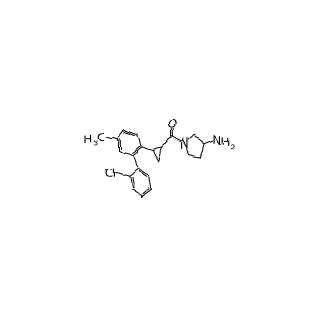 Cc1ccc(C2CC2C(=O)N2CCC(N)C2)c(-c2ccccc2Cl)c1